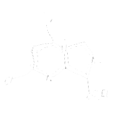 CCOC(=O)c1ncn2c(CC)cc(Cl)nc12